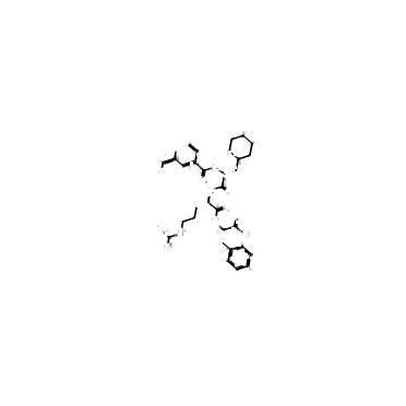 C=C/C(=C\C(Br)=C/N)C(=O)N[C@@H](CC1CCCCC1)C(=O)N[C@@H](CCCNC(N)N)C(=O)N[C@@H](Cc1ccccc1)C(N)=O